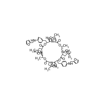 CC(C)CC1C(=O)OC(Cc2ccc(NCc3ccco3)cc2)C(=O)N(C)C(CC(C)C)C(=O)OC(C)CN(C)C(CC(C)C)C(=O)OC(Cc2ccc(NCc3ccco3)cc2)C(=O)N(C)C(CC(C)C)C(=O)OC(C)CN1C